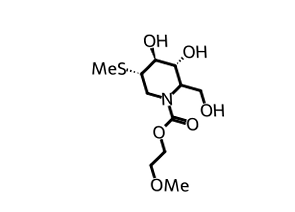 COCCOC(=O)N1C[C@H](SC)[C@@H](O)[C@H](O)C1CO